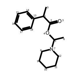 CC(C(=O)OC(C)N1CCCCC1)c1ccccc1